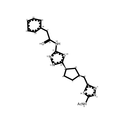 CC(=O)Nc1nnc(C[C@H]2CC[C@@H](c3nnc(NC(=O)Cc4ccccc4)s3)C2)s1